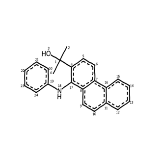 CC(C)(O)c1ccc2c(ccc3ccccc32)c1Nc1ccccc1